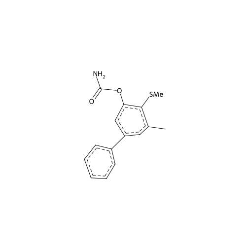 CSc1c(C)cc(-c2ccccc2)cc1OC(N)=O